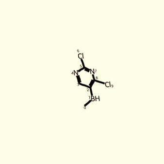 CBc1cnc(Cl)nc1Cl